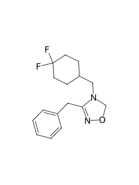 FC1(F)CCC(CN2CON=C2Cc2ccccc2)CC1